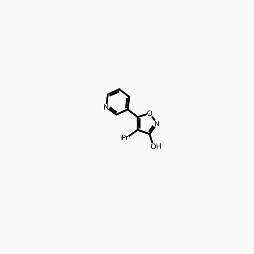 CC(C)c1c(O)noc1-c1cccnc1